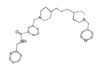 O=C(NCc1ccccc1)c1cccc(CN2CCC(CCCC3CCN(Cc4ccncc4)CC3)CC2)c1